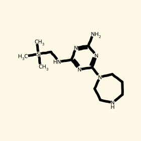 C[Si](C)(C)CNc1nc(N)nc(N2CCCNCC2)n1